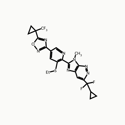 CCSc1cc(-c2noc(C3(C(F)(F)F)CC3)n2)cnc1-c1nc2cc(C(F)(F)C3CC3)nnc2n1C